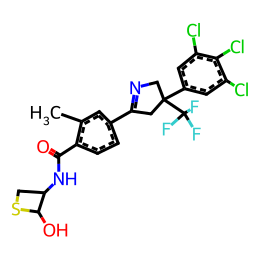 Cc1cc(C2=NCC(c3cc(Cl)c(Cl)c(Cl)c3)(C(F)(F)F)C2)ccc1C(=O)NC1CSC1O